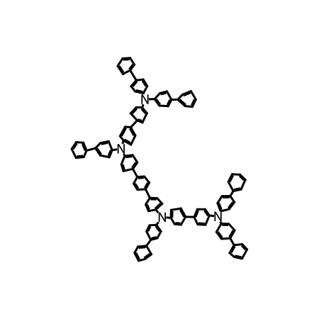 c1ccc(-c2ccc(N(c3ccc(-c4ccccc4)cc3)c3ccc(-c4ccc(N(c5ccc(-c6ccccc6)cc5)c5ccc(-c6ccc(-c7ccc(N(c8ccc(-c9ccccc9)cc8)c8ccc(-c9ccc(N(c%10ccc(-c%11ccccc%11)cc%10)c%10ccc(-c%11ccccc%11)cc%10)cc9)cc8)cc7)cc6)cc5)cc4)cc3)cc2)cc1